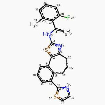 C=C(Nc1nc2c(s1)-c1cccc(-c3nccs3)c1CCC2)c1c(C)cccc1F